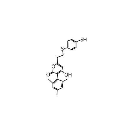 Cc1cc(C)c(-c2c(O)cc(CCSc3ccc(S)cc3)oc2=O)c(C)c1